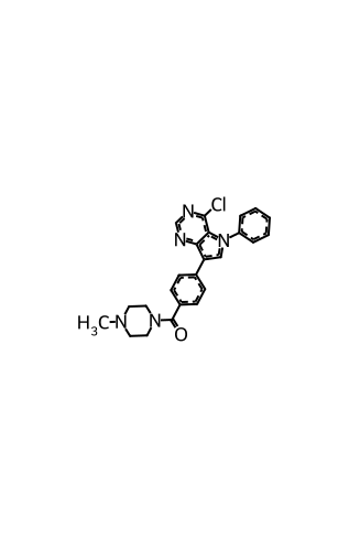 CN1CCN(C(=O)c2ccc(-c3cn(-c4ccccc4)c4c(Cl)ncnc34)cc2)CC1